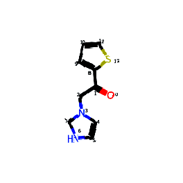 O=C(CN1C=CNC1)c1cccs1